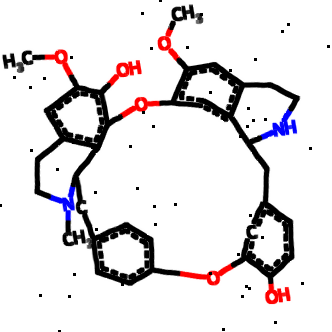 COc1cc2c3cc1Oc1c(O)c(OC)cc4c1C(Cc1ccc(cc1)Oc1cc(ccc1O)CC3NCC2)N(C)CC4